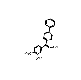 COc1ccc(C(=CC#N)c2ccc(-c3ccccc3)cc2)cc1OC